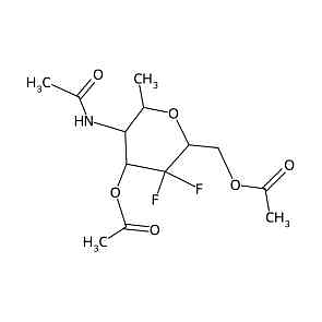 CC(=O)NC1C(C)OC(COC(C)=O)C(F)(F)C1OC(C)=O